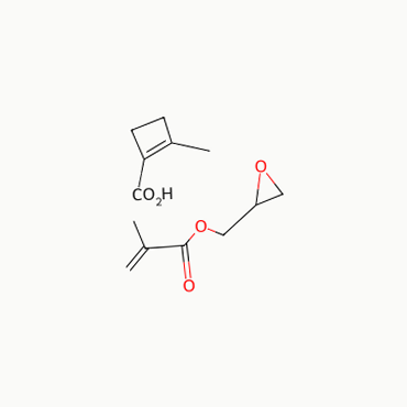 C=C(C)C(=O)OCC1CO1.CC1=C(C(=O)O)CC1